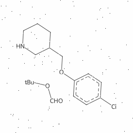 CC(C)(C)OC=O.Clc1ccc(OCC2CCCNC2)cc1